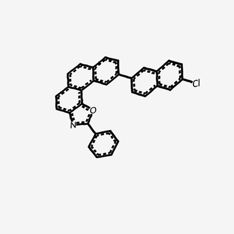 Clc1ccc2cc(-c3ccc4ccc5ccc6nc(-c7ccccc7)oc6c5c4c3)ccc2c1